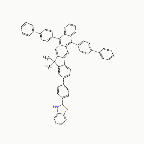 CC1(C)c2cc(-c3ccc(C4Nc5ccccc5S4)cc3)ccc2-c2cc3c(-c4ccc(-c5ccccc5)cc4)c4ccccc4c(-c4ccc(-c5ccccc5)cc4)c3cc21